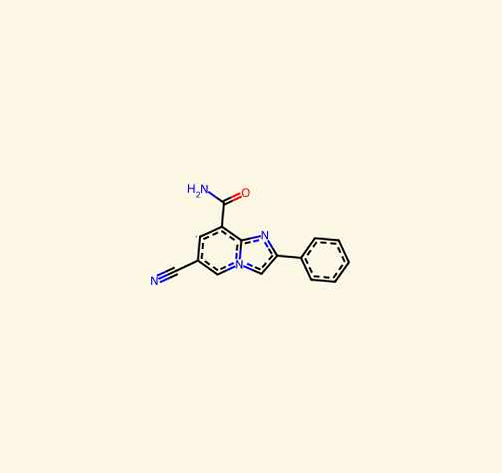 N#Cc1[c]c(C(N)=O)c2nc(-c3ccccc3)cn2c1